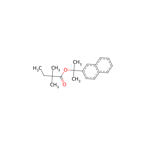 CCC(C)(C)C(=O)OC(C)(C)c1ccc2ccccc2c1